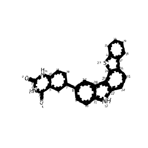 O=c1[nH]c(=O)c2cc(-c3ccc4[nH]c5ccc6c7ccccc7sc6c5c4c3)ccc2[nH]1